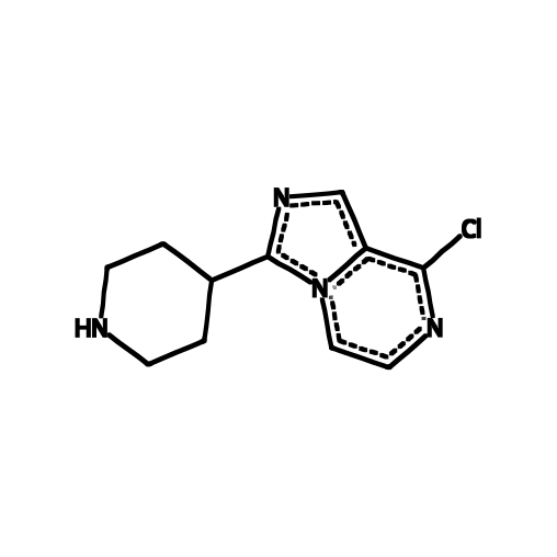 Clc1nccn2c(C3CCNCC3)ncc12